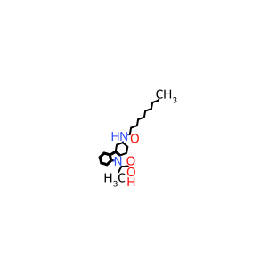 CCCCCCCCCC(=O)N[C@H]1CCc2c(c3ccccc3n2C(CC)C(=O)O)C1